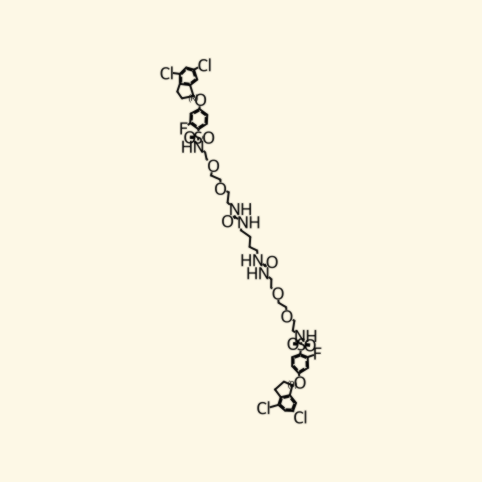 O=C(NCCCCNC(=O)NCCOCCOCCNS(=O)(=O)c1ccc(O[C@@H]2CCc3c(Cl)cc(Cl)cc32)cc1F)NCCOCCOCCNS(=O)(=O)c1ccc(O[C@@H]2CCc3c(Cl)cc(Cl)cc32)cc1F